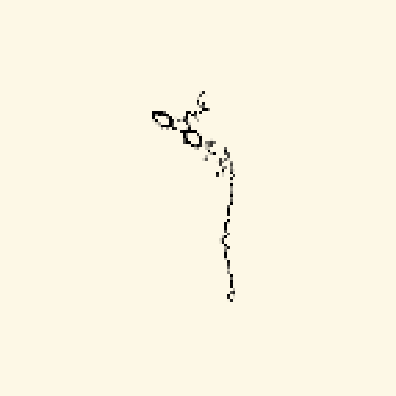 CC(=O)OCC1c2ccccc2-c2ccc(NC(=O)CCN3C(=O)CC(SCCCCCCCCCCCCCCCC=O)C3=O)cc21